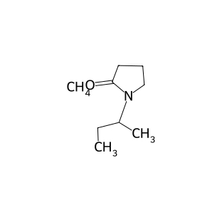 C.CCC(C)N1CCCC1=O